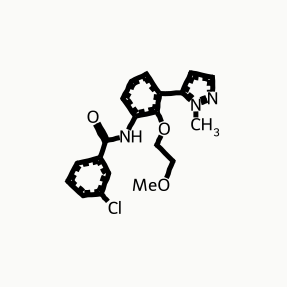 COCCOc1c(NC(=O)c2cccc(Cl)c2)cccc1-c1ccnn1C